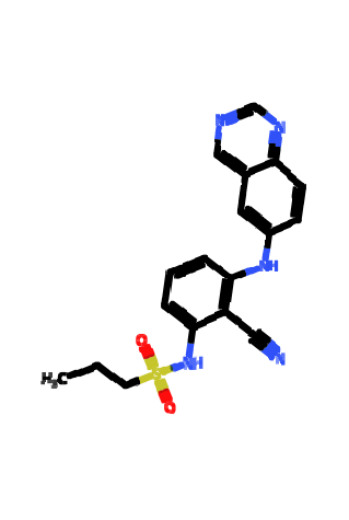 CCCS(=O)(=O)Nc1cccc(Nc2ccc3ncncc3c2)c1C#N